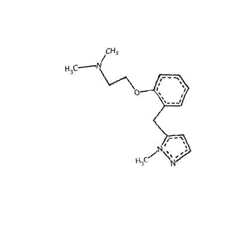 CN(C)CCOc1ccccc1Cc1ccnn1C